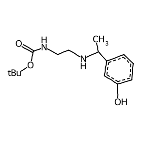 CC(NCCNC(=O)OC(C)(C)C)c1cccc(O)c1